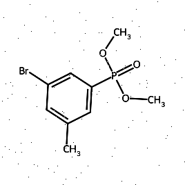 COP(=O)(OC)c1cc(C)cc(Br)c1